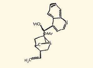 C=CC1CN2C(OC)CC1CC2C(O)c1ccnc2ccccc12